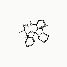 COc1ccccc1C(OC(O)C(C)N)(c1ccccc1)c1ccccc1OC